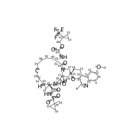 COc1ccc2nc(C)c3c(c2c1)CC[C@]1(C[C@H]2C(=O)N[C@]4(C(=O)NS(=O)(=O)C5(C)CC5)C[C@H]4/C=C\CCCCC[C@H](NC(=O)OCC4(C(F)(F)F)CC4)C(=O)N2C1)O3